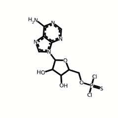 Nc1ncnc2c1ncn2C1OC(COP(=S)(Cl)Cl)C(O)C1O